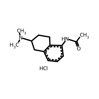 CC(=O)Nc1cccc2c1CCC(N(C)C)C2.Cl